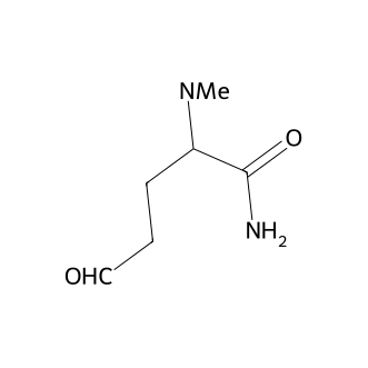 CNC(CCC=O)C(N)=O